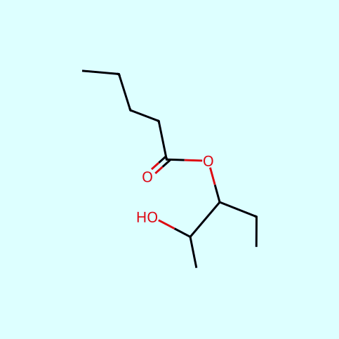 CCCCC(=O)OC(CC)C(C)O